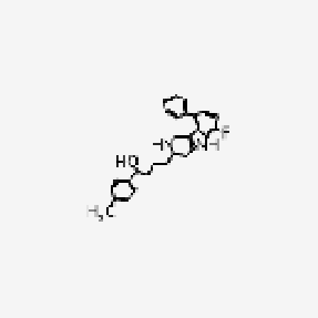 Cc1ccc(C(O)CCCC2Cc3[nH]c4c(F)ccc(-c5ccccc5)c4c3CN2)cc1